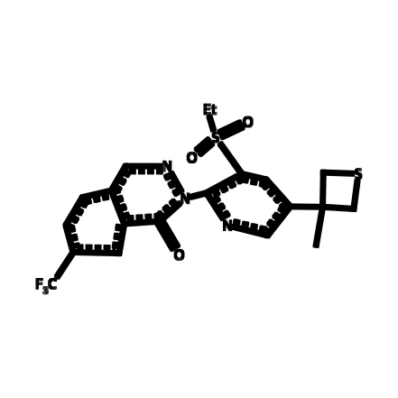 CCS(=O)(=O)c1cc(C2(C)CSC2)cnc1-n1ncc2ccc(C(F)(F)F)cc2c1=O